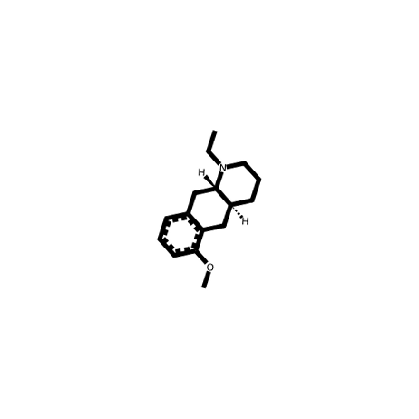 CCN1CCC[C@H]2Cc3c(cccc3OC)C[C@@H]21